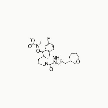 CCN(O[C@@H](c1cc(F)ccc1C)C1CCCN(C(=O)N(N)CCCC2CCCCOC2)C1)C(=O)OC